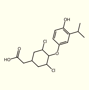 CC(C)c1cc(OC2C(Cl)CC(CC(=O)O)CC2Cl)ccc1O